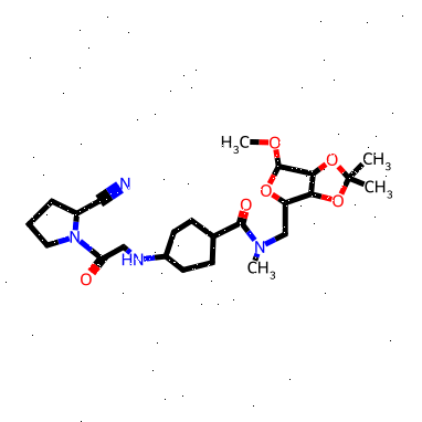 COC1OC(CN(C)C(=O)C2CCC(NCC(=O)N3CCCC3C#N)CC2)C2OC(C)(C)OC12